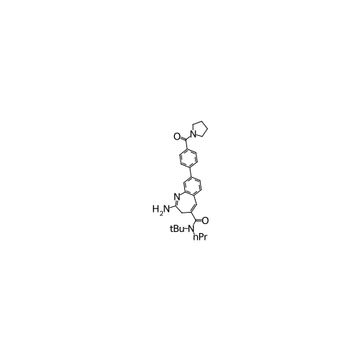 CCCN(C(=O)C1=Cc2ccc(-c3ccc(C(=O)N4CCCC4)cc3)cc2N=C(N)C1)C(C)(C)C